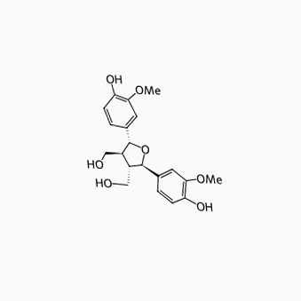 COc1cc([C@@H]2O[C@@H](c3ccc(O)c(OC)c3)[C@H](CO)[C@H]2CO)ccc1O